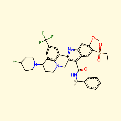 CCS(=O)(=O)c1cc2c(C(=O)N[C@@H](C)c3ccccc3)c(CN3CCC(N4CCC(F)CC4)CC3)c(-c3cccc(C(F)(F)F)c3)nc2cc1OC